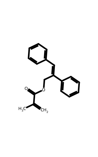 C=C(C)C(=O)OCC(=Cc1ccccc1)c1ccccc1